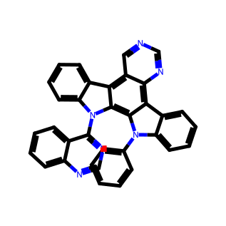 c1ccc(-n2c3ccccc3c3c4ncncc4c4c5ccccc5n(-c5ncnc6ccccc56)c4c32)cc1